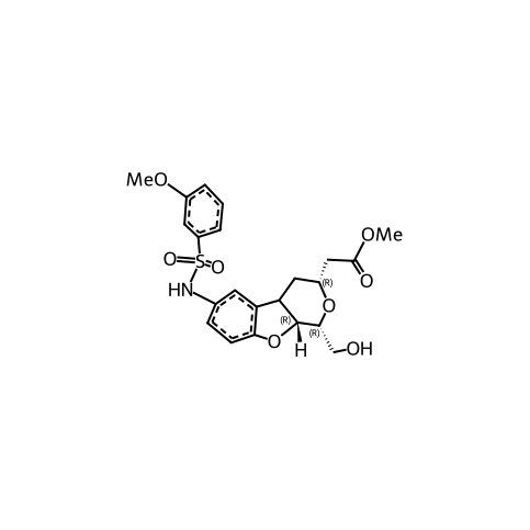 COC(=O)C[C@H]1CC2c3cc(NS(=O)(=O)c4cccc(OC)c4)ccc3O[C@H]2[C@@H](CO)O1